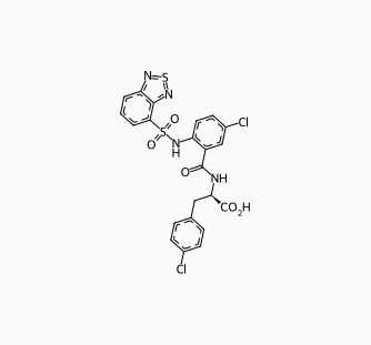 O=C(N[C@H](Cc1ccc(Cl)cc1)C(=O)O)c1cc(Cl)ccc1NS(=O)(=O)c1cccc2nsnc12